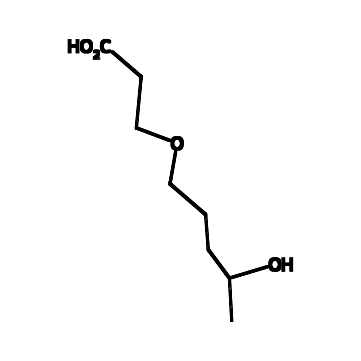 CC(O)CCCOCCC(=O)O